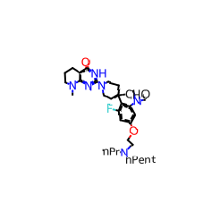 CCCCCN(CCC)CCOc1cc(F)c(C2(C=O)CCN(c3nc4c(c(=O)[nH]3)CCCN4C)CC2)c(N(C)C)c1